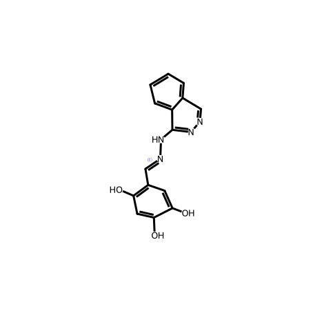 Oc1cc(O)c(/C=N/Nc2nncc3ccccc23)cc1O